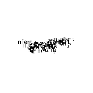 CCCCCC(C)c1ccc(C(=O)N[C@H](C(=O)N[C@@H](CC(C)C)B2OC(=O)C[C@H](C(=O)NCC(C)(C)CCCCC)O2)[C@@H](C)O)nc1-c1ccccc1